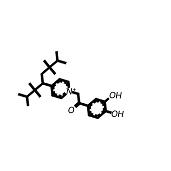 CC(C)C(C)(C)CC(c1cc[n+](CC(=O)c2ccc(O)c(O)c2)cc1)C(C)(C)C(C)C